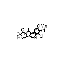 COc1cc2c3c(cnc2c(Cl)c1Cl)C1CNC(=O)C(=O)N1[C@H]3C